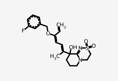 C=C/C(=C\C=C(/C)C1(O)CCCN2CCS(=O)(=O)N=C21)OCc1cccc(F)c1